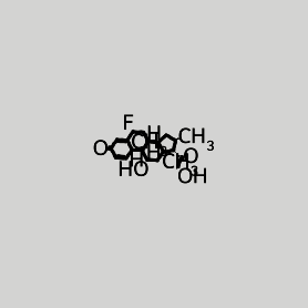 C[C@H]1C[C@H]2[C@@H]3C[C@H](F)C4=CC(=O)C=C[C@]4(C)[C@H]3[C@@H](O)C[C@]2(C)[C@H]1C(=O)CO